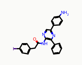 Nc1ccc(-c2cnc(NC(=O)Cc3ccc(I)cc3)c(-c3ccccc3)n2)cc1